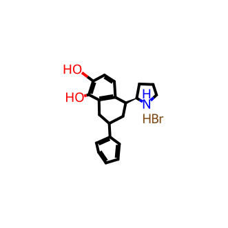 Br.Oc1ccc2c(c1O)CC(c1ccccc1)CC2[C@H]1CCCN1